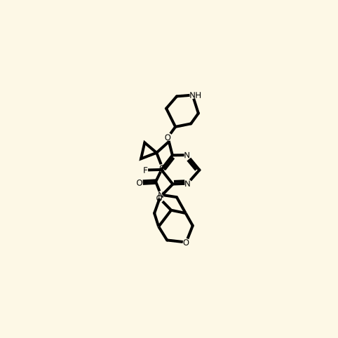 CC1(OC(=O)N2CC3COCC(C2)C3Oc2ncnc(OC3CCNCC3)c2F)CC1